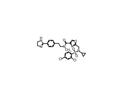 CN(CCc1ccc(C2=NCCN2)cc1)C(=O)c1coc(CN(C2CC2)S(=O)(=O)c2ccc(Cl)cc2Cl)n1